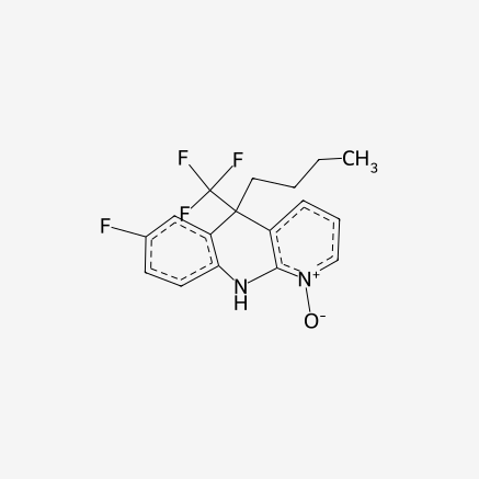 CCCCC1(C(F)(F)F)c2cc(F)ccc2Nc2c1ccc[n+]2[O-]